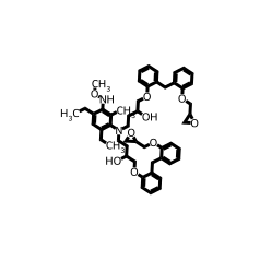 CCc1cc(CC)c(N(CCC(O)COc2ccccc2Cc2ccccc2OCC2CO2)CCC(O)COc2ccccc2Cc2ccccc2OCC2CO2)c(C)c1NOC